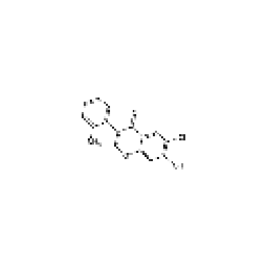 Cc1ccccc1-c1coc2cc(O)c(Cl)cc2c1=O